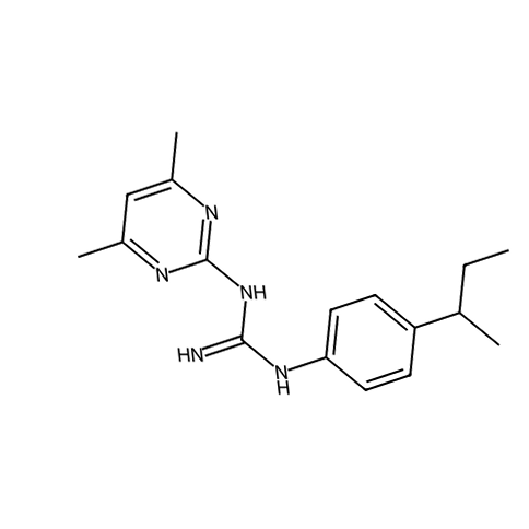 CCC(C)c1ccc(NC(=N)Nc2nc(C)cc(C)n2)cc1